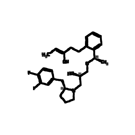 CC=C(O)CCc1ccccc1[C@@H](C)OC[C@H](O)CN1CCC[C@H]1Cc1ccc(F)c(F)c1